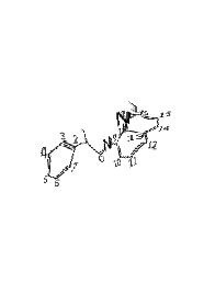 C(Cc1ccccc1)=Nc1cccc2cccnc12